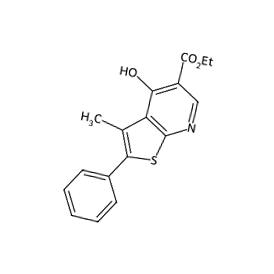 CCOC(=O)c1cnc2sc(-c3ccccc3)c(C)c2c1O